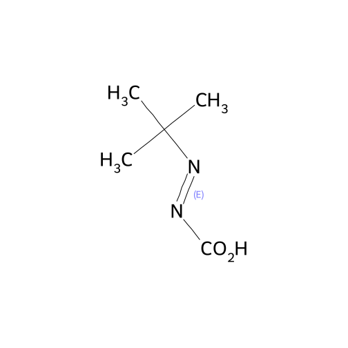 CC(C)(C)/N=N/C(=O)O